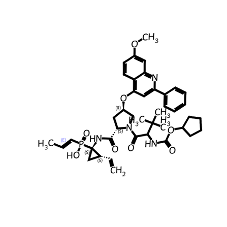 C=C[C@@H]1C[C@]1(NC(=O)[C@@H]1C[C@@H](Oc2cc(-c3ccccc3)nc3cc(OC)ccc23)CN1C(=O)C(NC(=O)OC1CCCC1)C(C)(C)C)P(=O)(O)/C=C/C